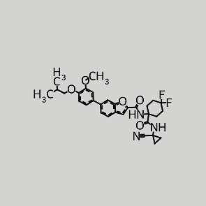 COc1cc(-c2ccc3cc(C(=O)NC4(C(=O)NC5(C#N)CC5)CCC(F)(F)CC4)oc3c2)ccc1OCC(C)C